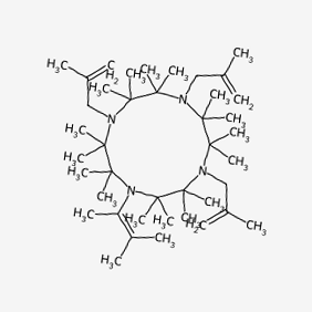 C=C(C)CN1C(C)(C)C(C)(C)N(CC(=C)C)C(C)(C)C(C)(C)N(C(C)=C(C)C)C(C)(C)C(C)(C)N(CC(=C)C)C(C)(C)C1(C)C